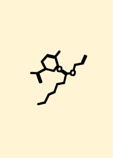 C=C(C)C1CC=C(C)CC1.C=CCOC(=O)CCCCCC